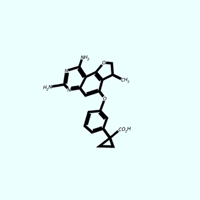 CC1COc2c1c(Oc1cccc(C3(C(=O)O)CC3)c1)cc1nc(N)nc(N)c21